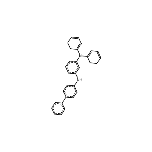 C1=CCCC(N(C2=CC=CCC2)c2cccc(Nc3ccc(-c4ccccc4)cc3)c2)=C1